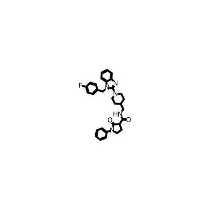 O=C(NCC1CCN(c2nc3ccccc3n2Cc2ccc(F)cc2)CC1)C1CCN(c2ccccc2)C1=O